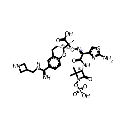 CC1(C)[C@H](NC(=O)/C(=N\O[C@](C)(C(=O)O)[C@H]2CCc3cc(C(=N)NCC4CNC4)ccc3O2)c2csc(N)n2)C(=O)N1OS(=O)(=O)O